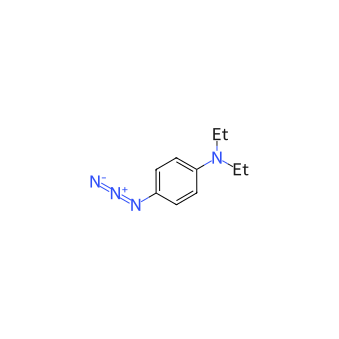 CCN(CC)c1ccc(N=[N+]=[N-])cc1